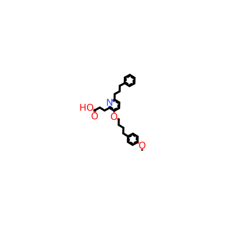 COc1ccc(CCCCOc2ccc(CCCc3ccccc3)nc2CCC(=O)O)cc1